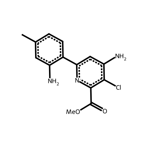 COC(=O)c1nc(-c2ccc(C)cc2N)cc(N)c1Cl